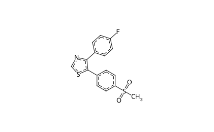 CS(=O)(=O)c1ccc(-c2scnc2-c2ccc(F)cc2)cc1